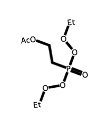 CCOOP(=O)(CCOC(C)=O)OOCC